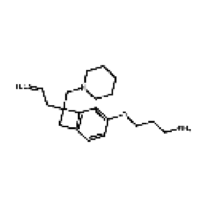 C=CCC1(CN2CCCCC2)Cc2ccc(OCCCN)cc21